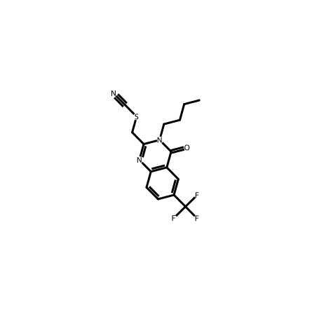 CCCCn1c(CSC#N)nc2ccc(C(F)(F)F)cc2c1=O